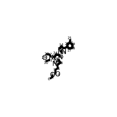 CCOC(=O)CCc1cc2nc(-n3ccc(-c4cccc(C)c4)n3)cc(N3CCOCC3)n2n1